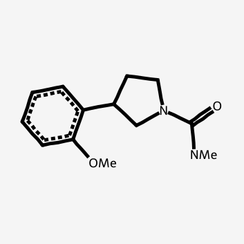 CNC(=O)N1CCC(c2ccccc2OC)C1